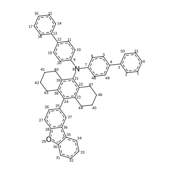 c1ccc(-c2ccc(N(c3ccc(-c4ccccc4)cc3)c3c4c(c(-c5ccc6oc7ccccc7c6c5)c5c3CCCC5)CCCC4)cc2)cc1